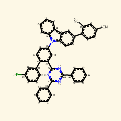 N#Cc1ccc(-c2ccc3c(c2)c2ccccc2n3-c2ccc(-c3cccc(F)c3)c(-c3nc(-c4ccccc4)nc(-c4ccccc4)n3)c2)c(C#N)c1